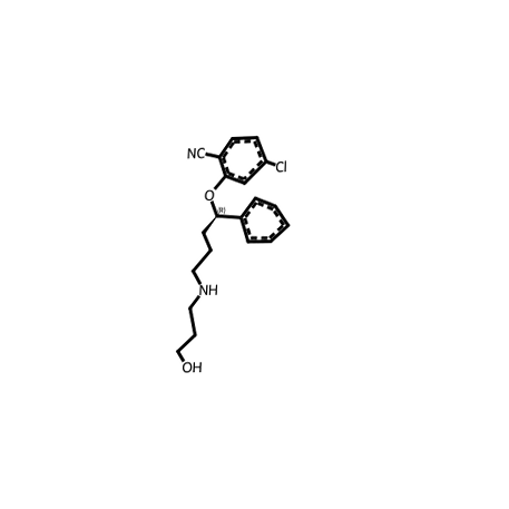 N#Cc1ccc(Cl)cc1O[C@H](CCCNCCCO)c1ccccc1